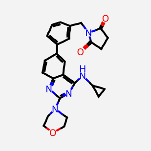 O=C1CCC(=O)N1Cc1cccc(-c2ccc3nc(N4CCOCC4)nc(NC4CC4)c3c2)c1